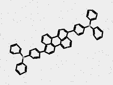 c1ccc(N(c2ccccc2)c2ccc(-c3ccc4c5cccc6c(-c7ccc(N(c8ccccc8)c8ccccc8)cc7)ccc(c7cccc3c74)c65)cc2)cc1